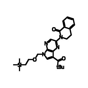 CC(C)(C)C(=O)c1cn(COCC[Si](C)(C)C)c2ncc(N3CCc4ccccc4C3=O)nc12